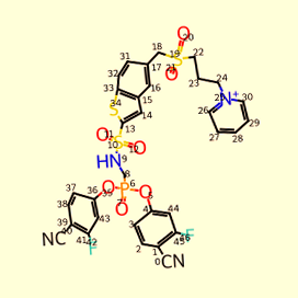 N#Cc1ccc(OP(=O)(CNS(=O)(=O)c2cc3cc(CS(=O)(=O)CCC[n+]4ccccc4)ccc3s2)Oc2ccc(C#N)c(F)c2)cc1F